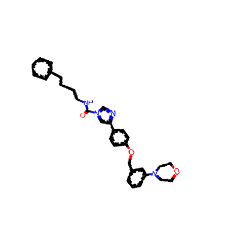 O=C(NCCCCc1ccccc1)n1cnc(-c2ccc(OCc3cccc(N4CCOCC4)c3)cc2)c1